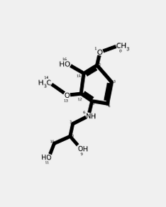 COc1ccc(NCC(O)CO)c(OC)c1O